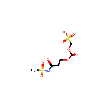 CS(=O)(=O)NC(=O)CCOC(=O)OCS(=O)(=O)O